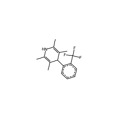 CC1=C(C)C(c2ccccc2C(F)(F)F)C(C)=C(C)N1